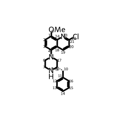 COc1ccc(N2CCN[C@@H](Cc3ccccc3)C2)c2ccc(Cl)nc12